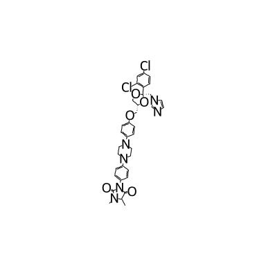 CC1C(=O)N(c2ccc(N3CCN(c4ccc(OC[C@@H]5CO[C@@](Cn6ccnc6)(c6ccc(Cl)cc6Cl)O5)cc4)CC3)cc2)C(=O)N1C